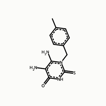 Cc1ccc(Cn2c(N)c(N)c(=O)[nH]c2=S)cc1